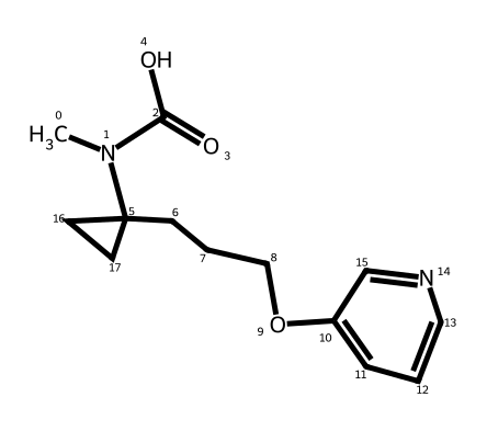 CN(C(=O)O)C1(CCCOc2cccnc2)CC1